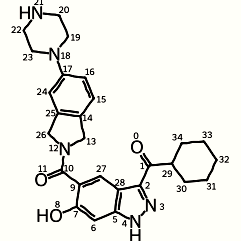 O=C(c1n[nH]c2cc(O)c(C(=O)N3Cc4ccc(N5CCNCC5)cc4C3)cc12)C1CCCCC1